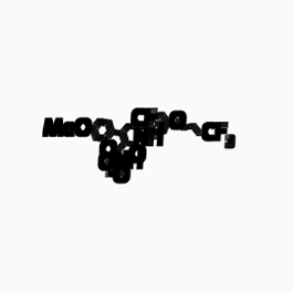 COc1ccc(C2=C(C(=O)NS(C)(=O)=O)C(=O)NC(c3ccc(OCCCC(F)(F)F)cc3)(C(F)(F)F)C2)cc1